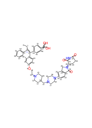 CC/C(=C(/c1ccc(OCCN2CCC(CN3CCN(c4ccc5c(c4)CN([C@@H]4CCC(=O)NC4=O)C5=O)CC3)CC2)cc1)c1ccc(B(O)O)cc1)c1ccccc1